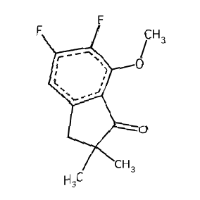 COc1c(F)c(F)cc2c1C(=O)C(C)(C)C2